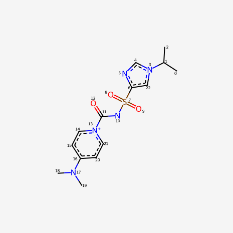 CC(C)n1cnc(S(=O)(=O)[N-]C(=O)[n+]2ccc(N(C)C)cc2)c1